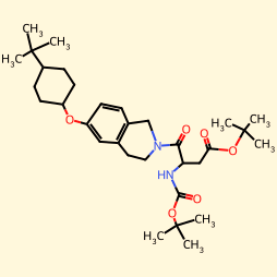 CC(C)(C)OC(=O)CC(NC(=O)OC(C)(C)C)C(=O)N1CCc2cc(OC3CCC(C(C)(C)C)CC3)ccc2C1